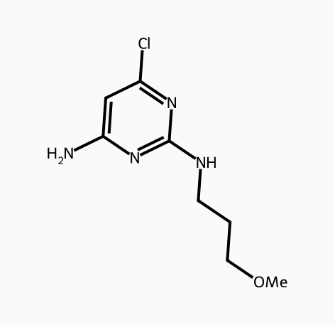 COCCCNc1nc(N)cc(Cl)n1